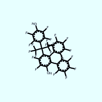 Oc1c(F)c(F)c(C(c2c(F)c(F)c(O)c(-c3c(F)c(F)c(F)c(F)c3F)c2-c2c(F)c(F)c(F)c(F)c2F)(C(F)(F)F)C(F)(F)F)c(F)c1F